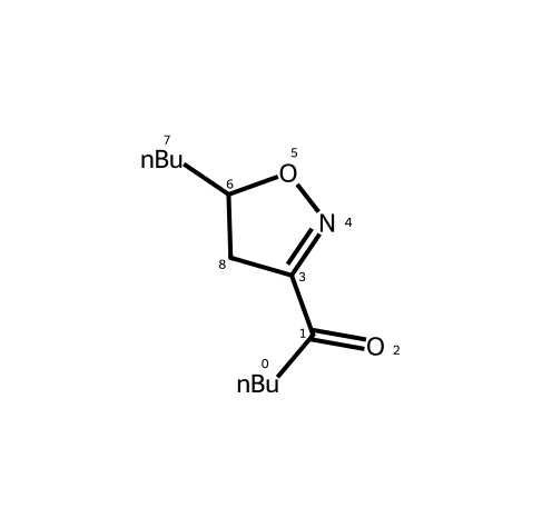 CCCCC(=O)C1=NOC(CCCC)C1